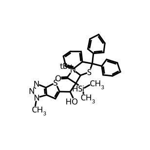 Cn1nnc2sc(C(O)C3([SiH](C)C)C(=O)N(C(C)(C)C)C3SC(c3ccccc3)(c3ccccc3)c3ccccc3)cc21